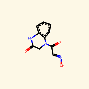 O=C1CN(C(=O)C=NO)c2ccccc2N1